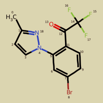 Cc1ccn(-c2cc(Br)ccc2C(=O)C(F)(F)F)n1